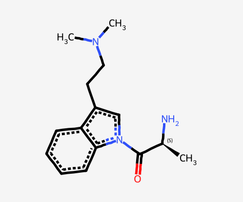 C[C@H](N)C(=O)n1cc(CCN(C)C)c2ccccc21